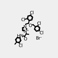 Cc1ccc(NC(=O)C(C)[n+]2ccn(CC(OCc3ccc(Cl)cc3Cl)c3ccc(Cl)cc3Cl)c2)cc1Cl.[Br-]